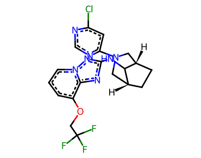 FC(F)(F)COc1cccn2nc(NC3[C@@H]4CC[C@H]3CN(c3cc(Cl)ncn3)C4)nc12